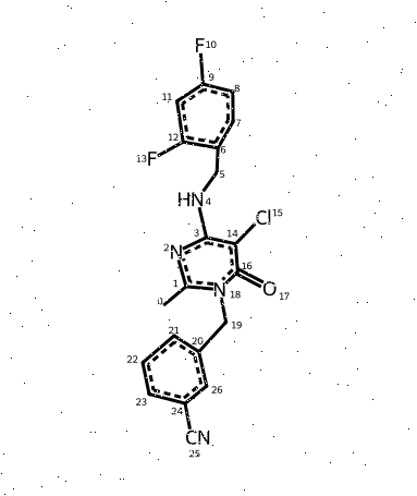 Cc1nc(NCc2ccc(F)cc2F)c(Cl)c(=O)n1Cc1cccc(C#N)c1